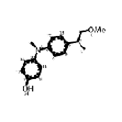 COC[C@@H](C)c1ccc(N(C)c2ccc(O)cc2)cc1